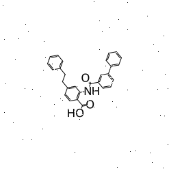 O=C(Nc1cc(CCc2ccccc2)ccc1C(=O)O)c1cccc(-c2ccccc2)c1